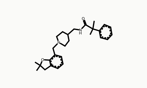 CC1(C)Cc2cccc(CN3CCC(CNC(=O)C(C)(C)c4ccccc4)CC3)c2O1